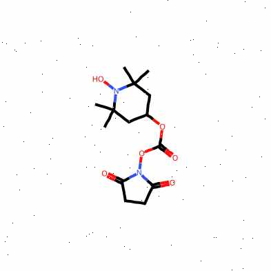 CC1(C)CC(OC(=O)ON2C(=O)CCC2=O)CC(C)(C)N1O